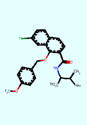 CCCCC(C)C(NC(=O)c1ccc2ccc(Cl)cc2c1OCc1ccc(OC(F)(F)F)cc1)C(=O)O